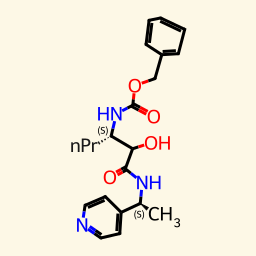 CCC[C@H](NC(=O)OCc1ccccc1)C(O)C(=O)N[C@@H](C)c1ccncc1